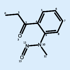 CCC(=O)c1ccccc1N(C)N=O